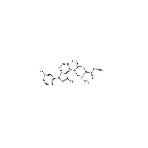 C[C@@H]1CN(c2ncnc3c2c(I)cn3-c2cc(Cl)ccn2)[C@@H](C)CN1C(=O)OC(C)(C)C